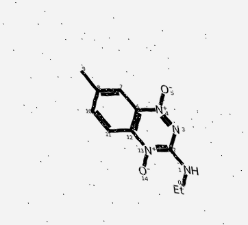 CCNc1n[n+]([O-])c2cc(C)ccc2[n+]1[O-]